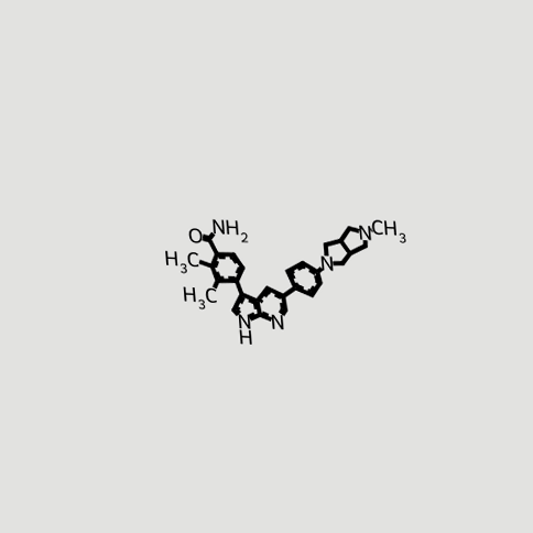 Cc1c(C(N)=O)ccc(-c2c[nH]c3ncc(-c4ccc(N5CC6CN(C)CC6C5)cc4)cc23)c1C